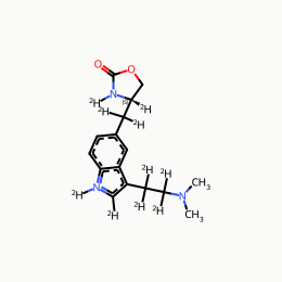 [2H]c1c(C([2H])([2H])C([2H])([2H])N(C)C)c2cc(C([2H])([2H])[C@@]3([2H])COC(=O)N3[2H])ccc2n1[2H]